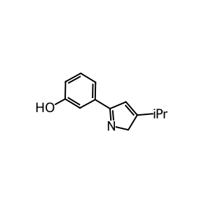 CC(C)C1=CC(c2cccc(O)c2)=NC1